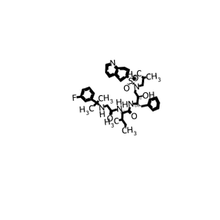 CCC(C)[C@H](NC(=O)CNC(C)(C)c1cccc(F)c1)C(=O)N[C@@H](Cc1ccccc1)[C@H](O)CN(CC(C)C)S(=O)(=O)c1ccc2ncccc2c1